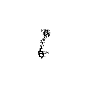 O=C(OCCCC1CC2CCCC(O)(C1)C2)OCOC(=O)C(F)(F)S(=O)(=O)O